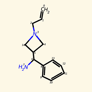 C=CCN1CC(C(N)c2ccccc2)C1